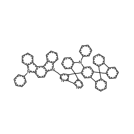 c1ccc(N2c3ccccc3C3(c4cc5c(cc42)C2(c4ccccc4-c4ccccc42)c2ccccc2-5)c2cccnc2-c2ncc(-n4c5ccccc5c5c6c7ccccc7n(-c7ccccc7)c6ccc54)cc23)cc1